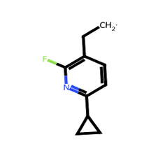 [CH2]Cc1ccc(C2CC2)nc1F